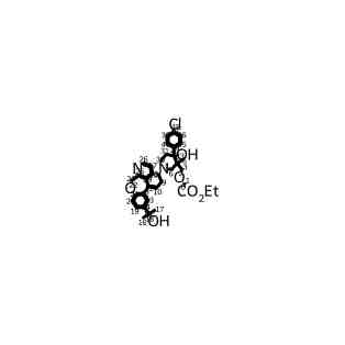 CCOC(=O)COCC1(C)CN(CCC=C2c3cc(C(C)(C)O)ccc3OCc3ncccc32)CCC1(O)c1ccc(Cl)cc1